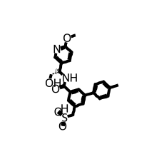 COc1ccc([C@@H](CO)NC(=O)c2cc(C[SH](=O)=O)cc(-c3ccc(C)cc3)c2)cn1